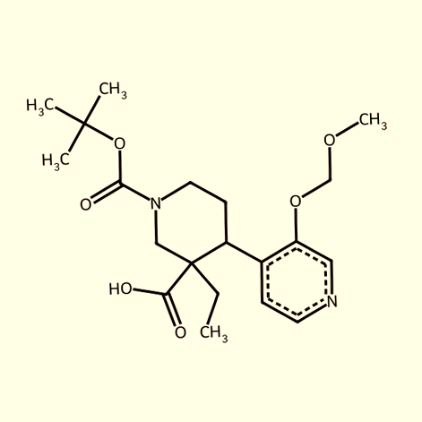 CCC1(C(=O)O)CN(C(=O)OC(C)(C)C)CCC1c1ccncc1OCOC